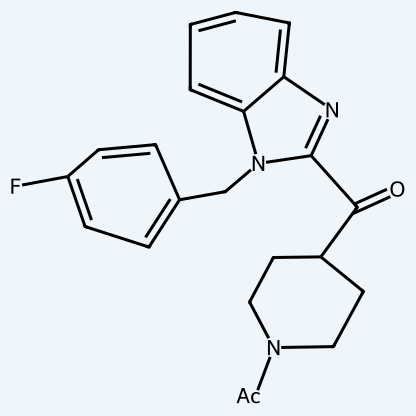 CC(=O)N1CCC(C(=O)c2nc3ccccc3n2Cc2ccc(F)cc2)CC1